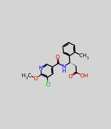 COc1ncc(C(=O)N[C@@H](CC(=O)O)c2ccccc2C)cc1Cl